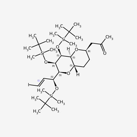 CC(=O)C[C@H]1CC[C@@H]2O[C@@H]([C@H](/C=C/I)O[Si](C)(C)C(C)(C)C)[C@@H](O[Si](C)(C)C(C)(C)C)[C@@H](O[Si](C)(C)C(C)(C)C)[C@H]2O1